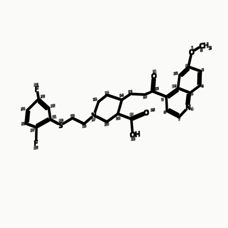 COc1ccc2nccc(C(=O)CCC3CCN(CCSc4cc(F)ccc4F)CC3C(=O)O)c2c1